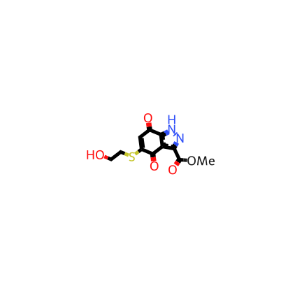 COC(=O)c1n[nH]c2c1C(=O)C(SCCO)=CC2=O